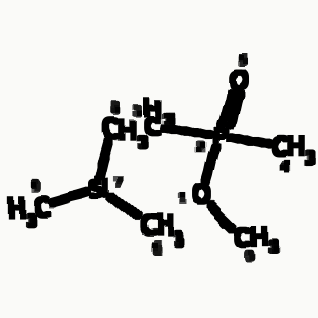 COP(C)(C)=O.C[Si](C)C